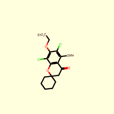 CCOC(=O)COc1c(Cl)c(OC)c2c(c1Cl)OC1(CCCCC1)CC2=O